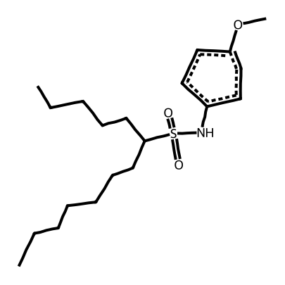 CCCCCCCC(CCCCC)S(=O)(=O)Nc1ccc(OC)cc1